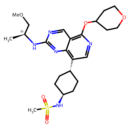 COC[C@H](C)Nc1ncc2c(OC3CCOCC3)ncc([C@H]3CC[C@H](NS(C)(=O)=O)CC3)c2n1